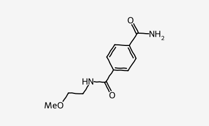 COCCNC(=O)c1ccc(C(N)=O)cc1